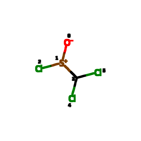 [O-][S+](Cl)C(Cl)Cl